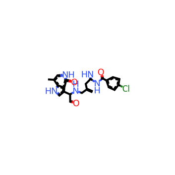 C=C(CNC(C=O)c1c[nH]c2c(C)c[nH]c(=O)c12)CC(=N)NC(=O)c1ccc(Cl)cc1